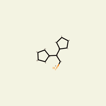 PCC(C1CCCC1)C1CCCC1